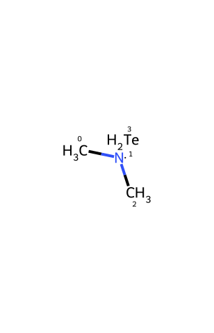 C[N]C.[TeH2]